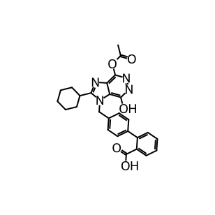 CC(=O)Oc1nnc(O)c2c1nc(C1CCCCC1)n2Cc1ccc(-c2ccccc2C(=O)O)cc1